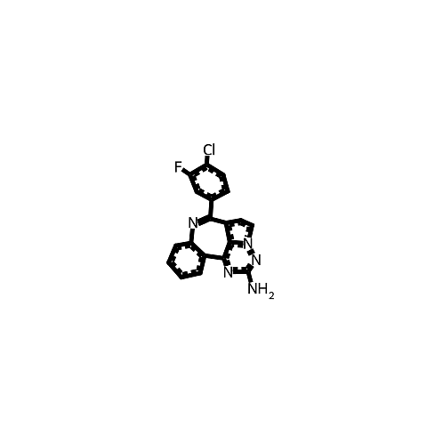 Nc1nc2c3c(ccn3n1)C(c1ccc(Cl)c(F)c1)=Nc1ccccc1-2